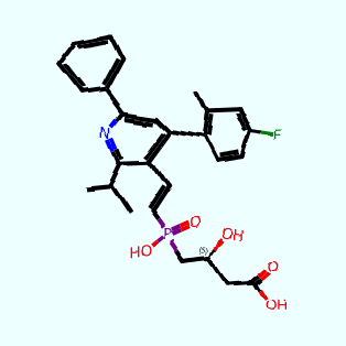 Cc1cc(F)ccc1-c1cc(-c2ccccc2)nc(C(C)C)c1C=CP(=O)(O)C[C@@H](O)CC(=O)O